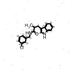 CC(Cc1c[nH]c2ccccc12)C(=O)NCc1cccc(Cl)c1